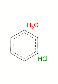 Cl.O.c1ccccc1